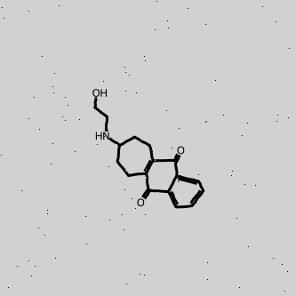 O=C1C2=C(CCC(NCCO)CC2)C(=O)c2ccccc21